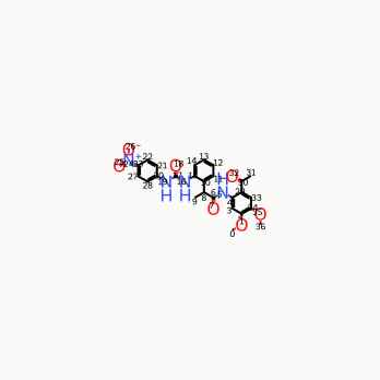 COc1cc(NC(=O)C(C)c2ccccc2NC(=O)Nc2ccc([N+](=O)[O-])cc2)c(C(C)=O)cc1OC